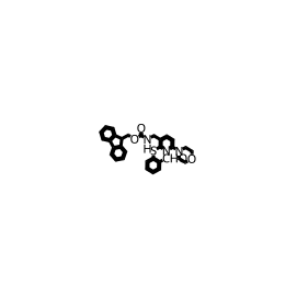 O=Cc1ccccc1Sc1nc(N2CCOCC2)ccc1CNC(=O)OCC1c2ccccc2-c2ccccc21